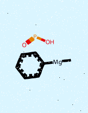 O=PO.[CH3][Mg][c]1ccccc1